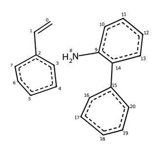 C=Cc1ccccc1.Nc1ccccc1-c1ccccc1